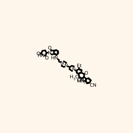 CCc1cc2c(cc1N1CCC(N3CCN(CCNc4cccc5c4CN(C4CCC(=O)NC4=O)C5=O)CC3)CC1)C(C)(C)c1[nH]c3cc(C#N)ccc3c1C2=O